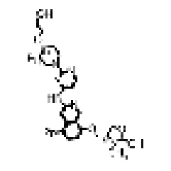 CC(C)c1ccc(OC[C@@H]2COC(O)N2C)c2cnc(Nc3ccnc(N4CC[C@@H](OCCO)[C@@H](F)C4)n3)cc12